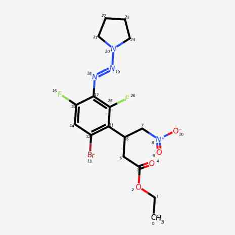 CCOC(=O)CC(C[N+](=O)[O-])c1c(Br)cc(F)c(N=NN2CCCC2)c1F